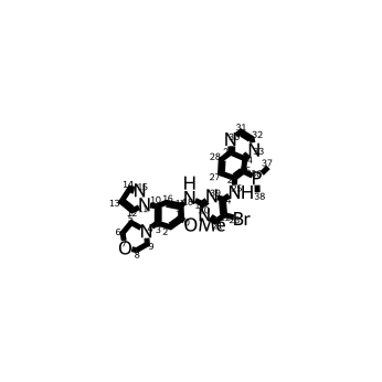 COc1cc(N2CCOCC2)c(-n2cccn2)cc1Nc1ncc(Br)c(Nc2ccc3nccnc3c2P(C)C)n1